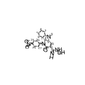 CN1c2ccccc2C2C1C=C(C(=N)NO)C(=O)N2c1ccc([N+](=O)[O-])cc1